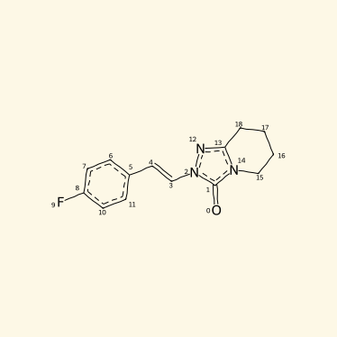 O=c1n(/C=C/c2ccc(F)cc2)nc2n1CCCC2